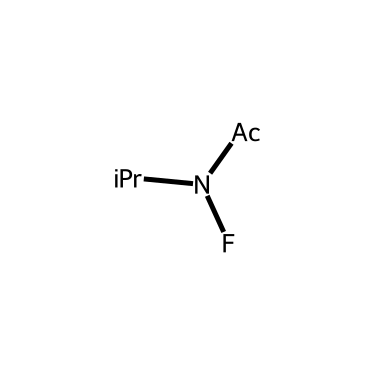 CC(=O)N(F)C(C)C